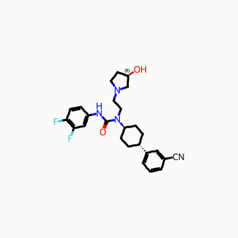 N#Cc1cccc([C@H]2CC[C@H](N(CCN3CC[C@@H](O)C3)C(=O)Nc3ccc(F)c(F)c3)CC2)c1